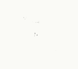 OC(CN=Cc1ccc(Cl)cc1)[C@@H](Cl)I